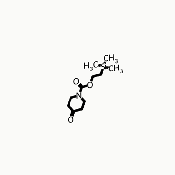 C[Si](C)(C)CCOC(=O)N1CCC(=O)CC1